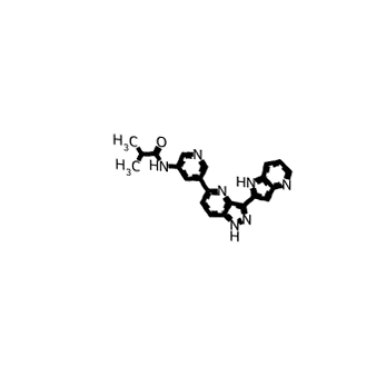 CC(C)C(=O)Nc1cncc(-c2ccc3[nH]nc(-c4cc5ncccc5[nH]4)c3n2)c1